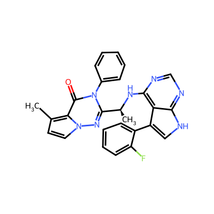 Cc1ccn2nc([C@H](C)Nc3ncnc4[nH]cc(-c5ccccc5F)c34)n(-c3ccccc3)c(=O)c12